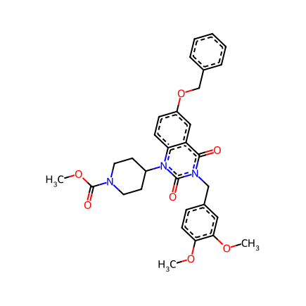 COC(=O)N1CCC(n2c(=O)n(Cc3ccc(OC)c(OC)c3)c(=O)c3cc(OCc4ccccc4)ccc32)CC1